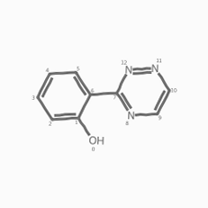 Oc1ccccc1-c1nccnn1